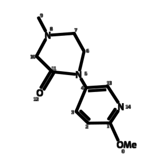 COc1ccc(N2CCN(C)CC2=O)cn1